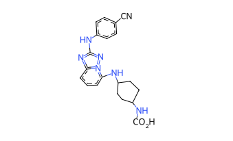 N#Cc1ccc(Nc2nc3cccc(NC4CCC(NC(=O)O)CC4)n3n2)cc1